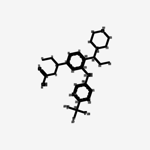 CCC(CC(=O)O)c1ccc(C(CC)N2CCOCC2)c(Nc2cnc(C(F)(F)F)nc2)c1